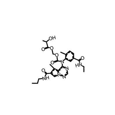 CCCNC(=O)c1cn2ncnc(N(C(=O)OCOC(=O)C(C)O)c3cc(C(=O)NCC)ccc3C)c2c1C